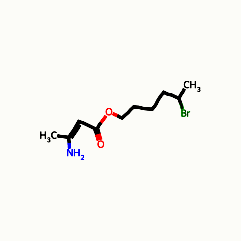 C/C(N)=C/C(=O)OCCCCC(C)Br